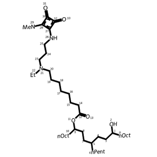 CCCCCCCCC(O)CCC(CCCCC)CCC(CCCCCCCC)OC(=O)CCCCCCCN(CC)CCCNc1c(NC)c(=O)c1=O